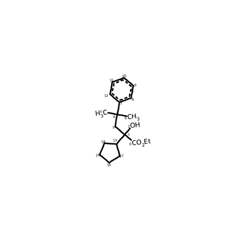 CCOC(=O)C(O)(CC(C)(C)c1ccccc1)C1CCCC1